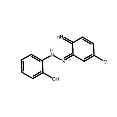 N=C1C=CC(Cl)=C/C1=N/Nc1ccccc1O